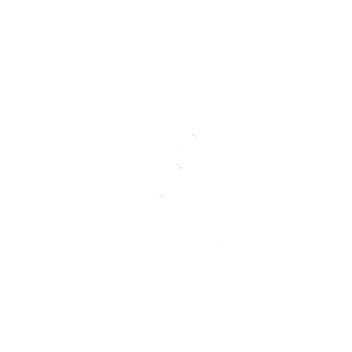 CCCN(C(=O)/N=c1\sc(C)cn1-c1ccc(C(F)(F)F)cc1)C(C)C